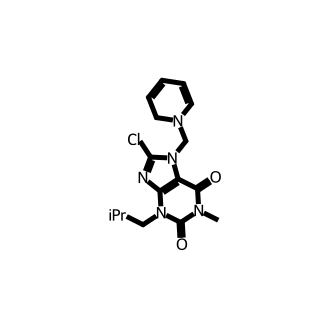 CC(C)Cn1c(=O)n(C)c(=O)c2c1nc(Cl)n2CN1C=CC=CC1